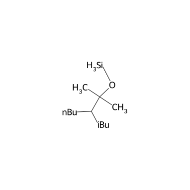 CCCCC(C(C)CC)C(C)(C)O[SiH3]